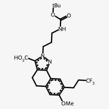 COc1cc2c(cc1CCC(F)(F)F)-c1nn(CCCNC(=O)OC(C)(C)C)c(C(=O)O)c1CC2